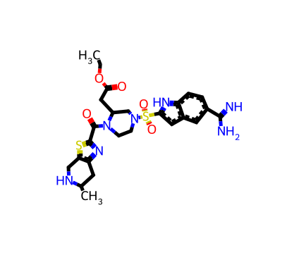 CCOC(=O)CC1CN(S(=O)(=O)c2cc3cc(C(=N)N)ccc3[nH]2)CCN1C(=O)c1nc2c(s1)CNC(C)C2